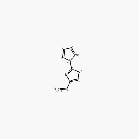 C=Cc1csc(-n2cccn2)n1